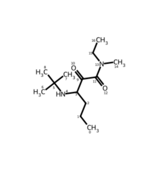 CCCC(NC(C)(C)C)C(=O)C(=O)N(C)CC